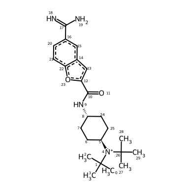 CC(C)(C)[N+]([C@H]1CC[C@H](NC(=O)c2cc3cc(C(=N)N)ccc3o2)CC1)C(C)(C)C